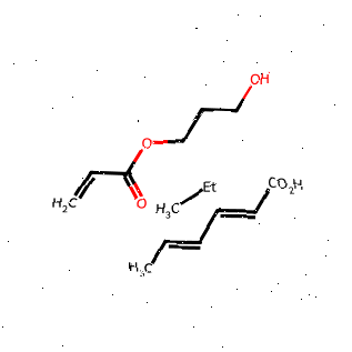 C/C=C/C=C/C(=O)O.C=CC(=O)OCCCO.CCC